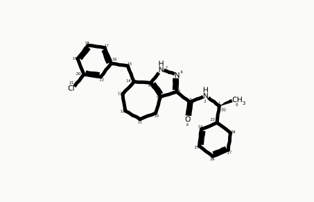 C[C@H](NC(=O)c1n[nH]c2c1CCCCC2Cc1cccc(Cl)c1)C1C=CC=CC1